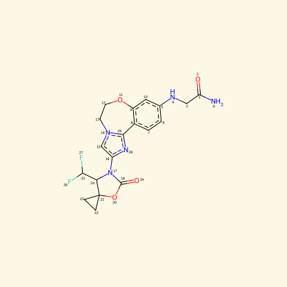 NC(=O)CNc1ccc2c(c1)OCCn1cc(N3C(=O)OC4(CC4)C3C(F)F)nc1-2